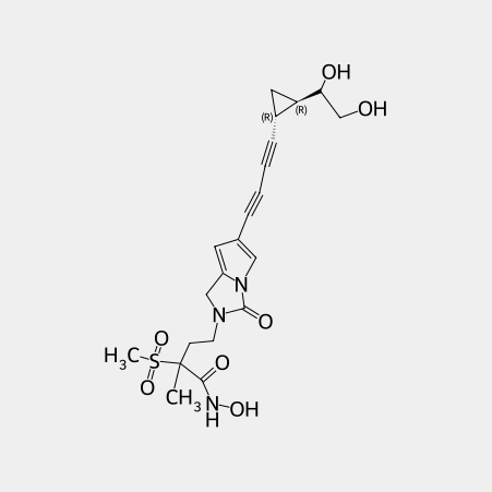 CC(CCN1Cc2cc(C#CC#C[C@@H]3C[C@H]3C(O)CO)cn2C1=O)(C(=O)NO)S(C)(=O)=O